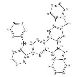 c1ccc(-n2c3ccccc3c3cc4c(cc32)c2cc3c(cc2n2cc5ccccc5c42)sc2ccccc23)cc1